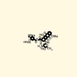 CCCCCCOc1ccc(C(=O)OCC(=O)[C@]2(O)Cc3c(O)c4c(c(O)c3[C@@H](O[C@H]3C[C@H](N)[C@H](O)[C@H](C)O3)C2)C(=O)c2c(OC)cccc2C4=O)cc1OCCCCCC